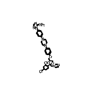 CCCc1ncnn1-c1ccc(N2CCN(c3ccc(OCC4COC(Cn5ccnc5)(c5ccc(Cl)cc5Cl)O4)cc3)CC2)cc1